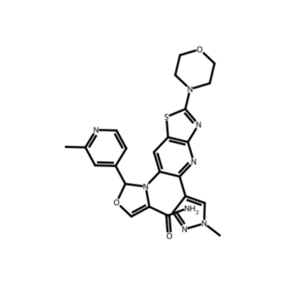 Cc1cc(C2OC=C(C(N)=O)N2c2cc3sc(N4CCOCC4)nc3nc2-c2cnn(C)c2)ccn1